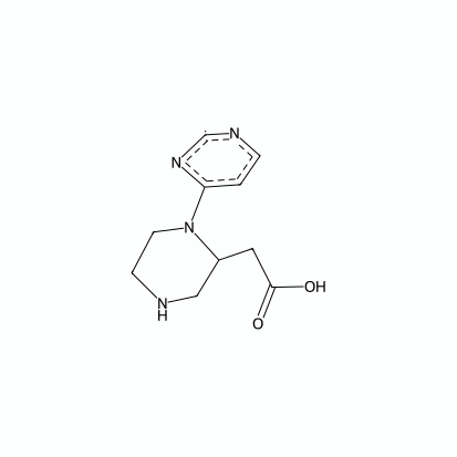 O=C(O)CC1CNCCN1c1ccn[c]n1